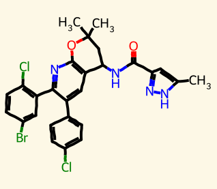 Cc1cc(C(=O)NC2CC(C)(C)Oc3nc(-c4cc(Br)ccc4Cl)c(-c4ccc(Cl)cc4)cc32)n[nH]1